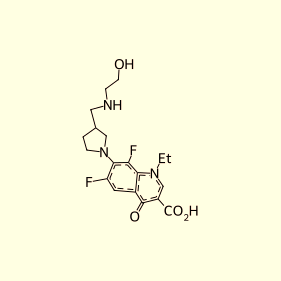 CCn1cc(C(=O)O)c(=O)c2cc(F)c(N3CCC(CNCCO)C3)c(F)c21